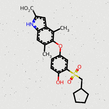 Cc1cc2[nH]c(C(=O)O)cc2c(C)c1Oc1ccc(O)c(S(=O)(=O)CC2CCCC2)c1